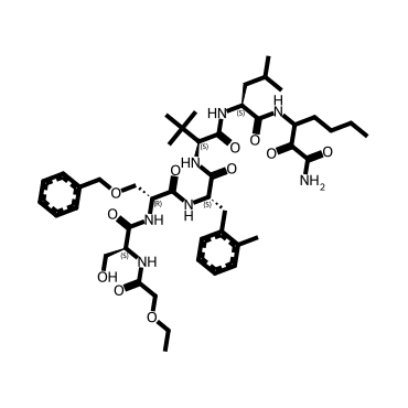 CCCCC(NC(=O)[C@H](CC(C)C)NC(=O)[C@@H](NC(=O)[C@H](Cc1ccccc1C)NC(=O)[C@@H](COCc1ccccc1)NC(=O)[C@H](CO)NC(=O)COCC)C(C)(C)C)C(=O)C(N)=O